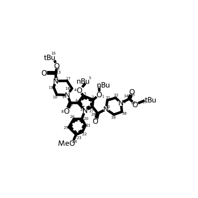 CCCCOc1c(OCCCC)c(C(=O)N2CCN(C(=O)OC(C)(C)C)CC2)n(-c2ccc(OC)cc2)c1C(=O)N1CCN(C(=O)OC(C)(C)C)CC1